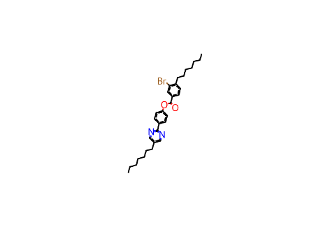 CCCCCCCc1cnc(-c2ccc(OC(=O)c3ccc(CCCCCCC)c(Br)c3)cc2)nc1